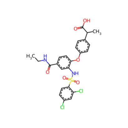 CCNC(=O)c1ccc(Oc2ccc(C(C)C(=O)O)cc2)c(NS(=O)(=O)c2ccc(Cl)cc2Cl)c1